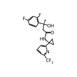 C[C@@](O)(CC(=O)NC1(c2cccc(C(F)(F)F)n2)CC1)c1ccc(F)cc1F